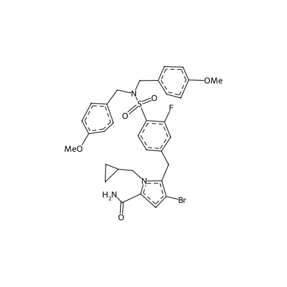 COc1ccc(CN(Cc2ccc(OC)cc2)S(=O)(=O)c2ccc(Cc3c(Br)cc(C(N)=O)n3CC3CC3)cc2F)cc1